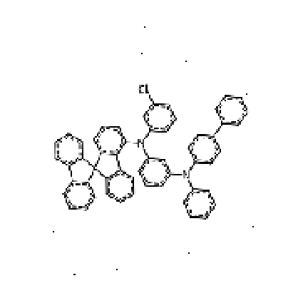 Clc1cccc(N(c2cccc(N(c3ccccc3)c3ccc(-c4ccccc4)cc3)c2)c2cccc3c2-c2ccccc2C32c3ccccc3-c3ccccc32)c1